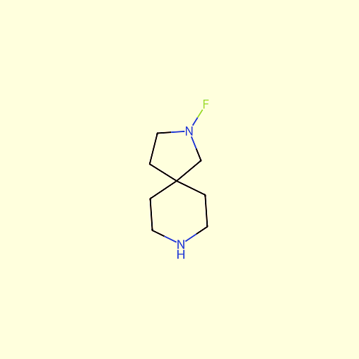 FN1CCC2(CCNCC2)C1